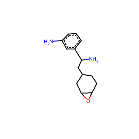 Nc1cccc(C(N)CC2CCC3OC3C2)c1